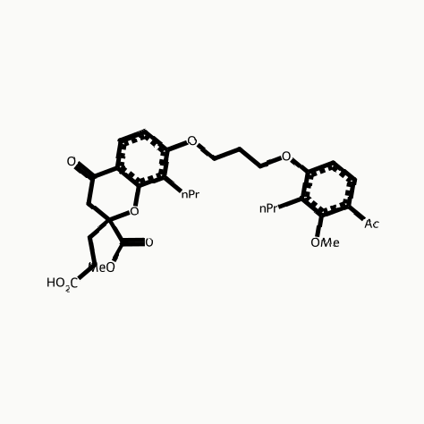 CCCc1c(OCCCOc2ccc3c(c2CCC)OC(CCC(=O)O)(C(=O)OC)CC3=O)ccc(C(C)=O)c1OC